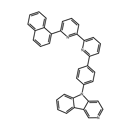 c1cc(-c2ccc(-n3c4ccccc4c4cnccc43)cc2)nc(-c2cccc(-c3cccc4ccccc34)n2)c1